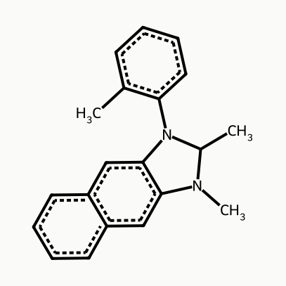 Cc1ccccc1N1c2cc3ccccc3cc2N(C)C1C